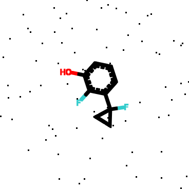 Oc1cccc(C2(F)CC2)c1F